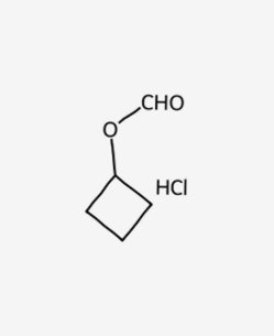 Cl.O=COC1CCC1